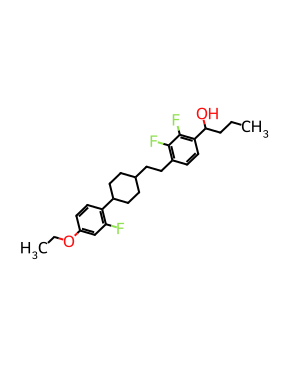 CCCC(O)c1ccc(CCC2CCC(c3ccc(OCC)cc3F)CC2)c(F)c1F